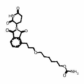 NC(=O)OCCCCCCOCCCc1cccc2c1C(=O)N(C1CCC(=O)NC1=O)C2=O